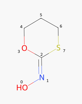 ON=C1OCCCS1